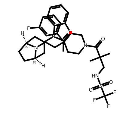 Cc1nc2ccccc2n1C1C[C@H]2CC[C@@H](C1)N2CCC1(c2cccc(F)c2)CCN(C(=O)C(C)(C)CNS(=O)(=O)C(F)(F)F)CC1